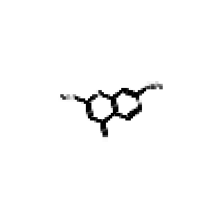 COc1ccc2c(=O)cc(OC)oc2c1